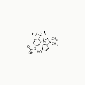 CC1(C)C[C@@]2(CC(C)(C)c3ccc(OC(=O)O)cc32)c2cc(O)ccc21